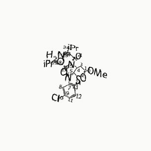 COC(=O)CC(c1nc2cc(Cl)ccc2s1)N(C(=O)OC(C)C)C(=O)[C@@H](N)C(C)C